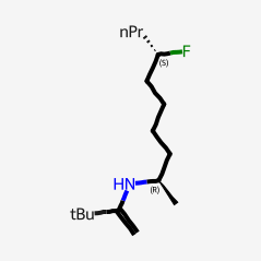 C=C(N[C@H](C)CCCC[C@@H](F)CCC)C(C)(C)C